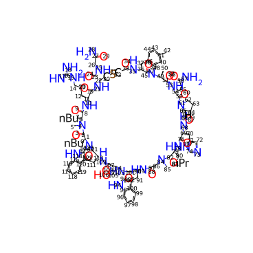 CCCC[C@H]1C(=O)N(C)[C@@H](CCCC)C(=O)N[C@@H](CCCNC(=N)N)C(=O)N[C@H](C(=O)NCC(N)=O)CSCC(=O)N[C@@H](Cc2ccc(C)cc2)C(=O)N(C)[C@@H](C)C(=O)N[C@@H](CC(N)=O)C(=O)N2CCC[C@H]2C(=O)N[C@@H](Cc2cnc[nH]2)C(=O)N[C@@H](CC(C)C)C(=O)N(C)CC(=O)N[C@@H](Cc2c[nH]c3ccccc23)C(=O)N[C@@H](CO)C(=O)N[C@@H](Cc2c[nH]c3ccccc23)C(=O)N1C